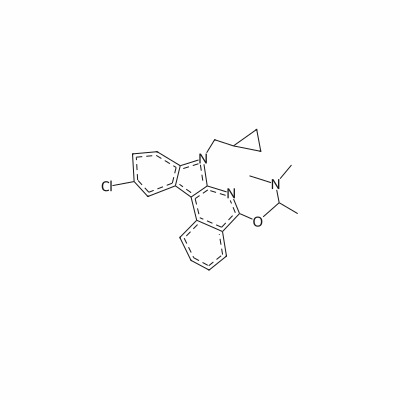 CC(Oc1nc2c(c3ccccc13)c1cc(Cl)ccc1n2CC1CC1)N(C)C